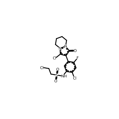 O=c1c(-c2cc(NS(=O)(=O)CCCl)c(Cl)cc2F)c(Cl)n2n1CCCC2